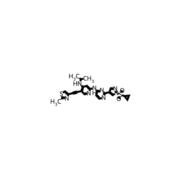 Cc1nc(C#Cc2cnc(Nc3ccnc(-c4cnn(S(=O)(=O)C5CC5)c4)n3)cc2NC(C)C)cs1